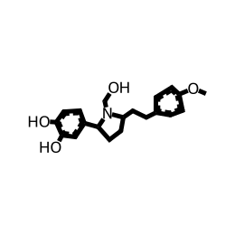 COc1ccc(CCC2CCC(c3ccc(O)c(O)c3)N2CO)cc1